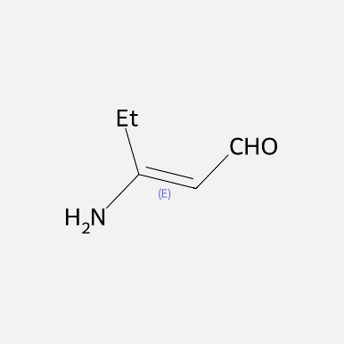 CC/C(N)=C\C=O